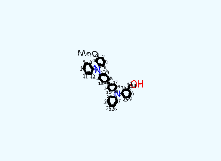 COc1cccc(N(c2ccccc2)c2ccc(-c3ccc(N(c4ccccc4)c4cccc(CO)c4)cc3)cc2)c1